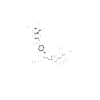 Nc1nc2ncc(CNc3ccc(C(=O)NC(CCC(=O)O[C@@H](C=O)[C@@H](O)[C@H](O)[C@H](O)CO)C(=O)O)cc3)nc2c(=O)[nH]1